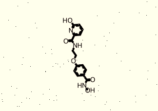 O=C(NO)c1ccc(OCCNC(=O)c2cccc(O)n2)cc1